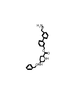 NOCc1cccc(-c2cccc(COC(=O)C3CCC(NOCc4ccccc4)CN3)c2)c1